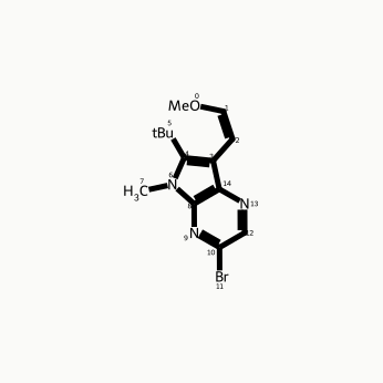 CO/C=C\c1c(C(C)(C)C)n(C)c2nc(Br)cnc12